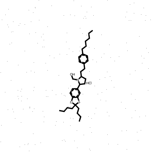 CCCCCCc1ccc(CCC2CCC(c3ccc4c(c3)SC(CCCC)(CCCC)O4)N2CO)cc1.Cl